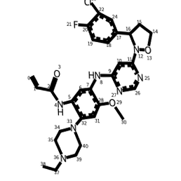 C=CC(=O)Nc1cc(Nc2cc(N3OCCC3c3ccc(F)c(Cl)c3)ncn2)c(OC)cc1N1CCN(CC)CC1